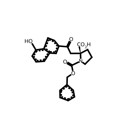 O=C(C[C@]1(C(=O)O)CCCN1C(=O)OCc1ccccc1)c1ccc2c(O)cccc2c1